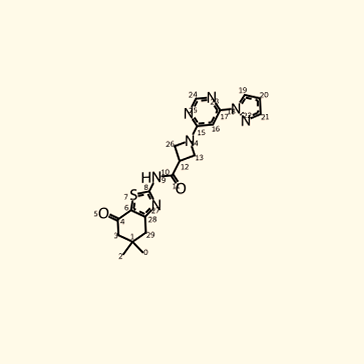 CC1(C)CC(=O)c2sc(NC(=O)C3CN(c4cc(-n5cccn5)ncn4)C3)nc2C1